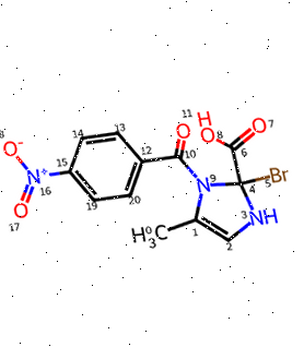 CC1=CNC(Br)(C(=O)O)N1C(=O)c1ccc([N+](=O)[O-])cc1